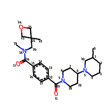 CC1CCCN(C2CCN(C(=O)c3ccc(C(=O)N(C)CC4(C)COC4)cc3)CC2)C1